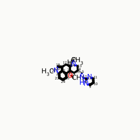 CO[C@]12C[C@@H](CNc3ncccn3)CN(C)[C@@H]1Cc1cn(C)c3cccc2c13